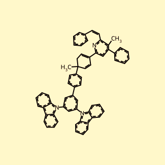 Cc1c(-c2ccccc2)cc(C2=CCC(C)(c3ccc(-c4cc(-n5c6ccccc6c6ccccc65)cc(-n5c6ccccc6c6ccccc65)c4)cc3)C=C2)nc1/C=C\c1ccccc1